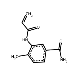 C=CC(=O)Nc1cc(C(N)=O)ccc1C